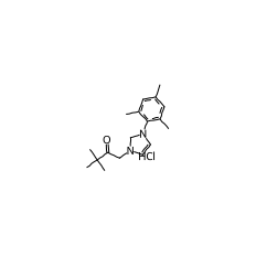 Cc1cc(C)c(N2C=CN(CC(=O)C(C)(C)C)C2)c(C)c1.Cl